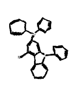 Clc1cc(N(c2ccccc2)c2ccccc2)cc2c1c1ccccc1n2-c1ccccc1